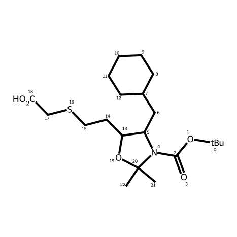 CC(C)(C)OC(=O)N1C(CC2CCCCC2)C(CCSCC(=O)O)OC1(C)C